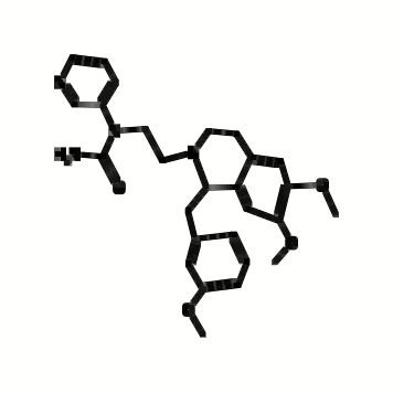 COc1cccc(CC2c3cc(OC)c(OC)cc3CCN2CCN(C(N)=O)c2cccnc2)c1